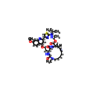 CCOC(=O)[C@@]12C[C@H]1/C=C\CCCCN(C)C(=O)N[C@@H](CCOc1cc(-c3csc(NC(C)C)n3)nc3cc(OC)ccc13)C(=O)N2